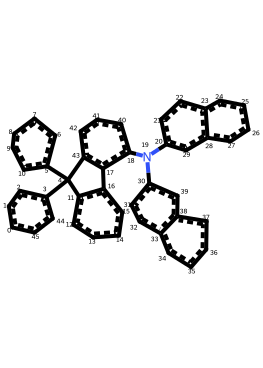 c1ccc(C2(c3ccccc3)c3ccccc3-c3c(N(c4ccc5ccccc5c4)c4ccc5ccccc5c4)cccc32)cc1